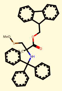 COSC[C@](NC(c1ccccc1)(c1ccccc1)c1ccccc1)(C(=O)O)C(=O)OCC1c2ccccc2-c2ccccc21